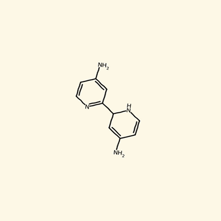 NC1=CC(c2cc(N)ccn2)NC=C1